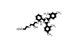 CCCCCCCCCCCCOCC(O)COC1(O)C=CC=CC1c1nc(-c2ccc(C)cc2C)nc(-c2ccc(C)cc2C)n1